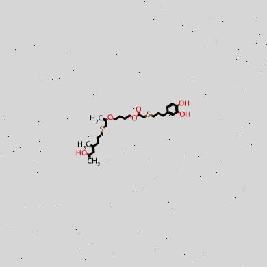 C=C(O)/C=C(\C)CCCSCC(=C)OCCCCOC(=O)CSCCCc1ccc(O)c(O)c1